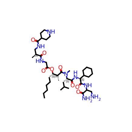 CCCCCC[C@H](OC(=O)CNC(=O)[C@@H](C)CNC(=O)C1CCNCC1)[C@@H](C)C(=O)N(C)[C@@H](CC(C)C)C(=O)N[C@H](C(=O)NC(CN)C(N)=O)C1CCCCC1